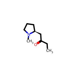 CCC(=O)C[C@@H]1CCCN1C